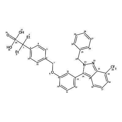 CCC(CC)(c1ccc(COc2cccc(-c3c4cccc(C(F)(F)F)c4nn3Cc3ccccc3)c2)cc1)P(=O)(O)O